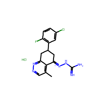 Cc1cnnc2c1/C(=N/NC(=N)N)CC(c1cc(Cl)ccc1F)C2.Cl